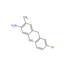 Cc1cc(Cc2cccc(Br)c2)c(C)cc1N